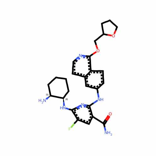 NC(=O)c1cc(F)c(N[C@@H]2CCCC[C@@H]2N)nc1Nc1ccc2c(OCC3CCCO3)nccc2c1